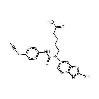 N#CCc1ccc(NC(=O)N(CCCCC(=O)O)c2ccc3nc(S)sc3c2)cc1